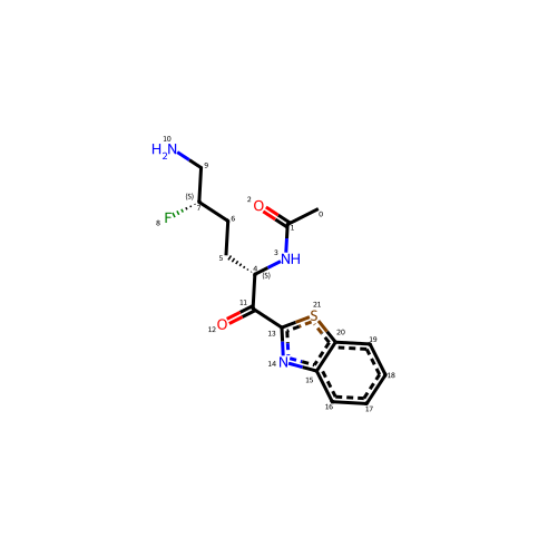 CC(=O)N[C@@H](CC[C@H](F)CN)C(=O)c1nc2ccccc2s1